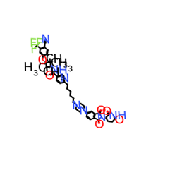 CC1(C)[C@H](NC(=O)c2ccc(CCCCCCN3CCN(c4ccc5c(c4)C(=O)N(C4CCC(=O)NC4=O)C5=O)CC3)nc2)C(C)(C)[C@H]1Oc1ccc(C#N)c(C(F)(F)F)c1